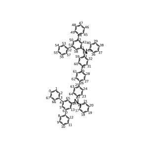 c1ccc(-c2cc(-c3ccccc3)cc(N(c3ccccc3)c3ccc(-c4ccc(-c5ccc(N(c6ccccc6)c6cc(-c7ccccc7)cc(-c7ccccc7)c6)cc5)cc4)cc3)c2)cc1